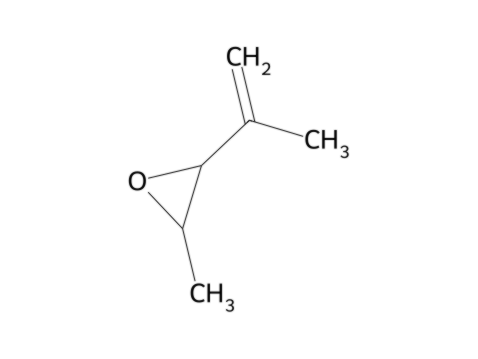 C=C(C)C1OC1C